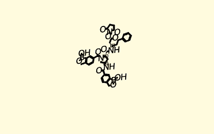 O=C(C[C@H](CCc1ccccc1)NC(=O)[C@@H]1C[C@@H](NC(=O)c2ccc3c(c2)B(O)OC3)CN1C(=O)c1ccc2c(c1)B(O)OC2)ON1C(=O)CCC1=O